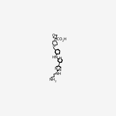 NCCCNc1ncc(-c2ccnc(Nc3cccc(CN4CCN(C5(C(=O)O)COC5)CC4)c3)c2)cn1